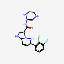 O=C(NC1=CNCCN1)C1=CNC2C=CC(c3cccc(F)c3Cl)NN12